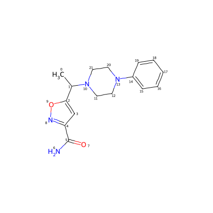 CC(c1cc(C(N)=O)no1)N1CCN(c2ccccc2)CC1